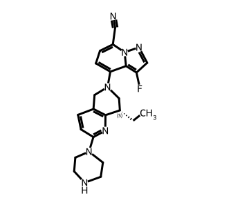 CC[C@H]1CN(c2ccc(C#N)n3ncc(F)c23)Cc2ccc(N3CCNCC3)nc21